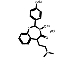 COc1ccc(C2Sc3ccccc3C(CCN(C)C)C(=O)N2OC(C)=O)cc1.Cl